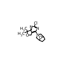 CC1(C)OCc2c(N3CC4CCC(C3)O4)nc(Cl)nc21